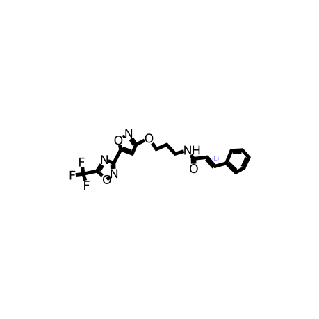 O=C(/C=C/c1ccccc1)NCCCOc1cc(-c2noc(C(F)(F)F)n2)on1